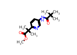 COC(=O)C(C)(C)c1ccc(NC(=O)C(C)(C)C)cn1